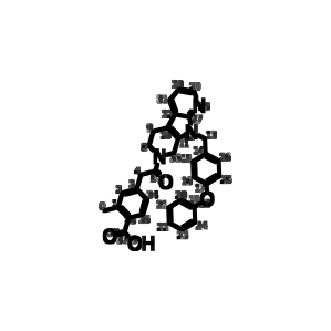 Cc1cc(CC(=O)N2CCc3c(n(Cc4ccc(Oc5ccccc5)cc4)c4ncccc34)C2)ccc1C(=O)O